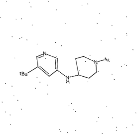 CC(=O)N1CCC(Nc2cncc(C(C)(C)C)c2)CC1